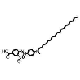 CCCCCCCCCCCCCCCCCCN(C)c1ccc(N=Nc2ccc(C(=O)O)cc2[N+](=O)[O-])cc1